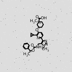 C[C@@H](OC(=O)NCc1c(-c2ccc(O[C@H]3CCC[C@](C)(C(=O)O)C3)c(C3CC3)n2)nnn1C)c1ccccc1